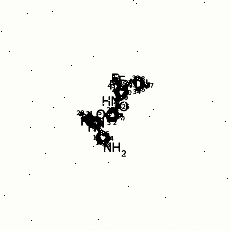 Cc1ccc(Oc2nc(-c3ccc(N)cc3)nc3nn(C)cc23)cc1C(=O)Nc1ccc(CN2CCN(C)CC2)c(C(F)(F)F)c1